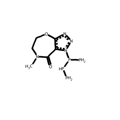 CN1CCOc2nnn(P(P)PP)c2C1=O